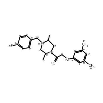 CC1CN(C(=O)COc2cc(C(F)(F)F)cc(C(F)(F)F)c2)C(C)CN1Cc1ccc(F)cc1